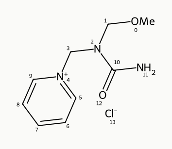 COCN(C[n+]1ccccc1)C(N)=O.[Cl-]